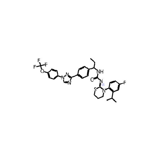 CCC(NC(=O)/N=C1\SCCCN1c1ccc(F)cc1C(C)C)c1ccc(-c2ncn(-c3ccc(OC(F)(F)F)cc3)n2)cc1